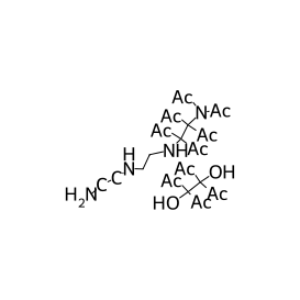 CC(=O)C(O)(C(C)=O)C(O)(C(C)=O)C(C)=O.CC(=O)N(C(C)=O)C(C(C)=O)(C(C)=O)C(NCCNCCN)(C(C)=O)C(C)=O